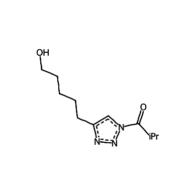 CC(C)C(=O)n1cc(CCCCCO)nn1